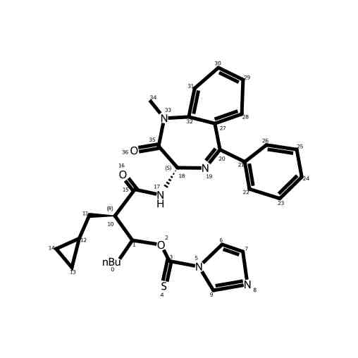 CCCCC(OC(=S)n1ccnc1)[C@@H](CC1CC1)C(=O)N[C@H]1N=C(c2ccccc2)c2ccccc2N(C)C1=O